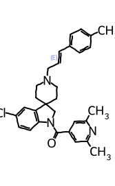 Cc1ccc(/C=C/CN2CCC3(CC2)CN(C(=O)c2cc(C)nc(C)c2)c2ccc(Cl)cc23)cc1